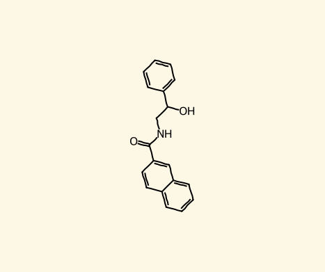 O=C(NCC(O)c1ccccc1)c1ccc2ccccc2c1